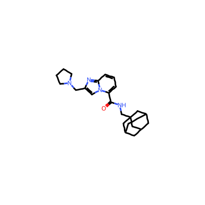 O=C(NCC12CC3CC(CC(C3)C1)C2)c1cccc2nc(CN3CCCC3)cn12